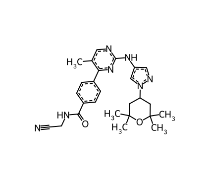 Cc1cnc(Nc2cnn(C3CC(C)(C)OC(C)(C)C3)c2)nc1-c1ccc(C(=O)NCC#N)cc1